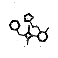 Cc1cccc(-n2c(=O)n(Cc3ccccc3)n2C)c1CSc1nccs1